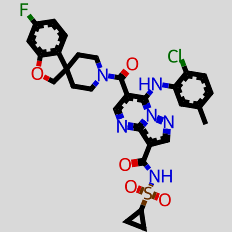 Cc1ccc(Cl)c(Nc2c(C(=O)N3CCC4(CC3)COc3cc(F)ccc34)cnc3c(C(=O)NS(=O)(=O)C4CC4)cnn23)c1